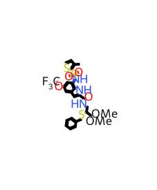 COC(OC)C(CNC(=O)c1cc2cc(OC(F)(F)F)cc(NS(=O)(=O)c3sccc3C)c2[nH]1)SCc1ccccc1